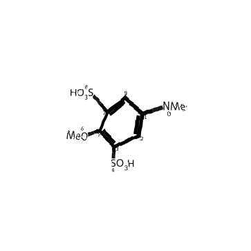 C[N]c1cc(S(=O)(=O)O)c(OC)c(S(=O)(=O)O)c1